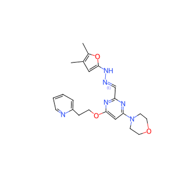 Cc1cc(N/N=C/c2nc(OCCc3ccccn3)cc(N3CCOCC3)n2)oc1C